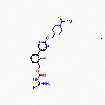 COC(=O)N1CCC(COc2ncc(-c3cccc(COC(=O)NC(=N)N)c3F)cn2)CC1